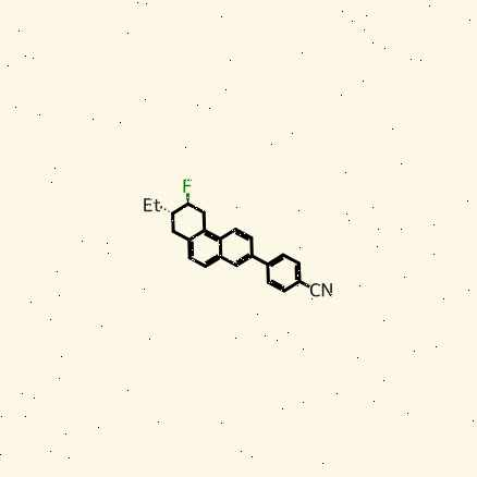 CC[C@H]1Cc2ccc3cc(-c4ccc(C#N)cc4)ccc3c2C[C@@H]1F